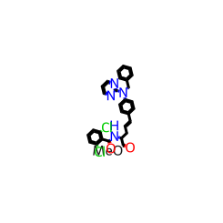 COC(=O)C(CC=Cc1ccc(N(Cc2ccccc2)c2ncccn2)cc1)NC(=O)c1c(Cl)cccc1Cl